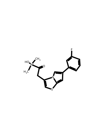 C[N+](C)(O)C(=O)Cc1csc2cc(-c3cccc(F)c3)cn12